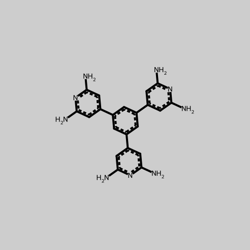 Nc1cc(-c2cc(-c3cc(N)nc(N)c3)cc(-c3cc(N)nc(N)c3)c2)cc(N)n1